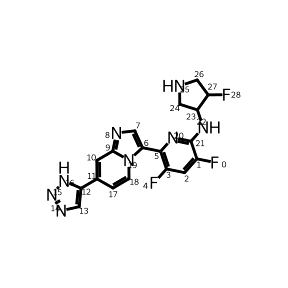 Fc1cc(F)c(-c2cnc3cc(-c4cnn[nH]4)ccn23)nc1NC1CNCC1F